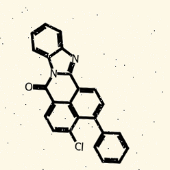 O=c1c2ccc(Cl)c3c(-c4ccccc4)ccc(c32)c2nc3ccccc3n12